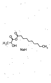 CCCCCCCCCC(=O)OC(=O)C(C)O.[NaH]